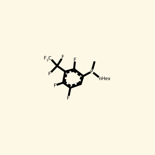 CCCCCCP(C)c1cc(F)c(F)c(C(F)(F)C(F)(F)F)c1F